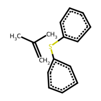 C=C(C)C.c1ccc(Sc2ccccc2)cc1